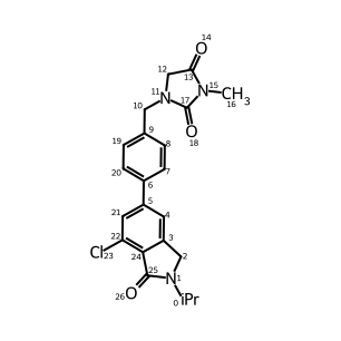 CC(C)N1Cc2cc(-c3ccc(CN4CC(=O)N(C)C4=O)cc3)cc(Cl)c2C1=O